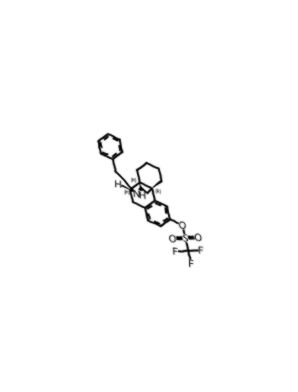 O=S(=O)(Oc1ccc2c(c1)[C@@]13CCCC[C@H]1[C@@H](C2)N(Cc1ccccc1)CC3)C(F)(F)F